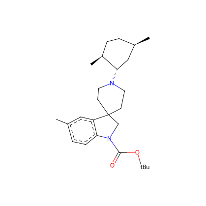 Cc1ccc2c(c1)C1(CCN([C@H]3C[C@H](C)CC[C@@H]3C)CC1)CN2C(=O)OC(C)(C)C